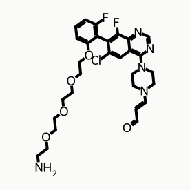 NCCOCCOCCOCCOc1cccc(F)c1-c1c(Cl)cc2c(N3CCN(C=CC=O)CC3)ncnc2c1F